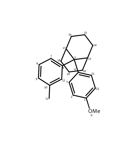 COc1ccc(C2(c3cccc(C)c3)C3CCCC2CCC3)cc1